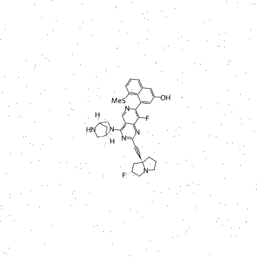 CSc1cccc2cc(O)cc(-c3ncc4c(N5C[C@H]6C[C@@H]5CN6)nc(C#C[C@@]56CCCN5C[C@H](F)C6)nc4c3F)c12